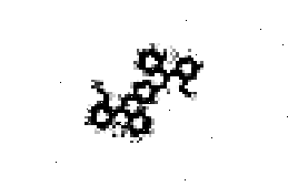 CCc1cccc2c1C(Cc1ccc(CC3c4ccccc4Oc4cccc(CC)c43)cc1)c1ccccc1O2